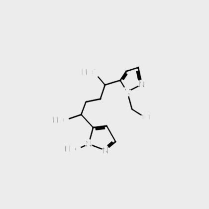 CC(C)Cn1nccc1C(C)CCC(C)c1ccnn1C